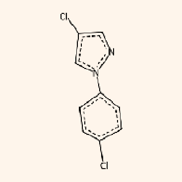 Clc1ccc(-n2cc(Cl)cn2)cc1